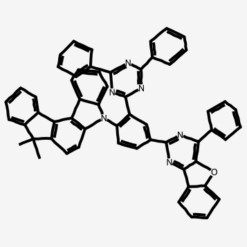 CC1(C)c2ccccc2-c2c1ccc1c2c2ccccc2n1-c1ccc(-c2nc(-c3ccccc3)c3oc4ccccc4c3n2)cc1-c1nc(-c2ccccc2)nc(-c2ccccc2)n1